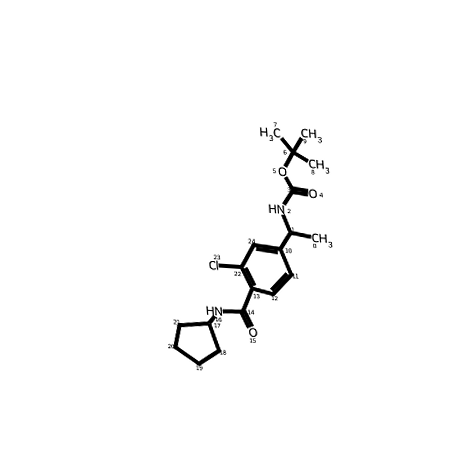 CC(NC(=O)OC(C)(C)C)c1ccc(C(=O)NC2CCCC2)c(Cl)c1